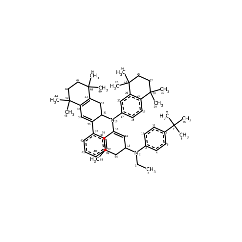 CCN(c1ccc(C(C)(C)C)cc1)C1C=C(N(c2ccc3c(c2)C(C)(C)CCC3(C)C)C2CC3=C(C=C2c2ccccc2)C(C)(C)CCC3(C)C)C=C(C)C1